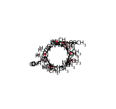 CCOC(=O)OCCCCC[C@@H](C)[C@@H](O)[C@H]1C(=O)N[C@@H](CC)C(=O)N(C)[C@H](C)C(=O)N(C)[C@@H]([C@@H](C)OCCCCN2CCOCC2)C(=O)N[C@@H](C(C)C)C(=O)N(C)[C@@H](CC(C)C)C(=O)N[C@@H](C)C(=O)N[C@H](C)C(=O)N(C)[C@@H](CC(C)C)C(=O)N(C)[C@@H](CC(C)C)C(=O)N(C)[C@@H](C(C)C)C(=O)N1C